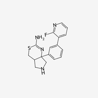 NC1=NC2(c3cccc(-c4cccnc4F)c3)CNCC2CS1